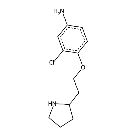 Nc1ccc(OCCC2CCCN2)c(Cl)c1